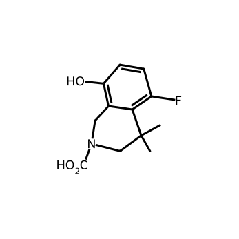 CC1(C)CN(C(=O)O)Cc2c(O)ccc(F)c21